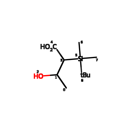 CC(O)C(C(=O)O)[Si](C)(C)C(C)(C)C